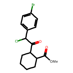 COC(=O)C1CCCCC1C(=O)C(Cl)c1ccc(Br)cc1